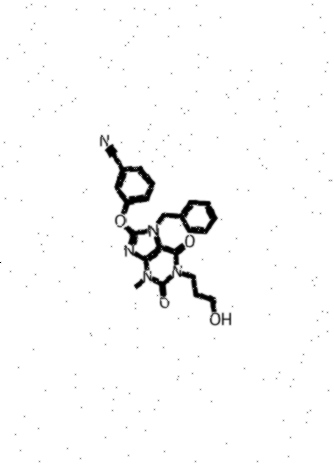 Cn1c(=O)n(CCCO)c(=O)c2c1nc(Oc1cccc(C#N)c1)n2Cc1ccccc1